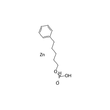 O=[PH](O)OCCCCCc1ccccc1.[Zn]